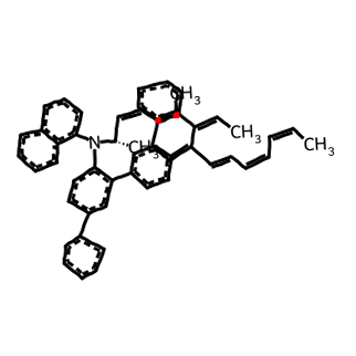 C\C=C/C=C\C=C\C(=C\CC(/C=C\[C@H](C)N(c1ccc(-c2ccccc2)cc1-c1ccccc1)c1cccc2ccccc12)=C/C)C(=C/C)\c1ccccc1